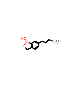 O=C(O)CCCc1ccc2c(c1)B(O)OC2